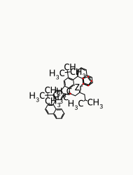 CC(C)C[C](CC(C)C)=[Zr]([C]1=CC=CC1)[c]1c2c(cc(C(C)(C)C)c1-c1cccc3ccccc13)-c1cc(C(C)(C)C)c(-c3cccc4ccccc34)cc1C2